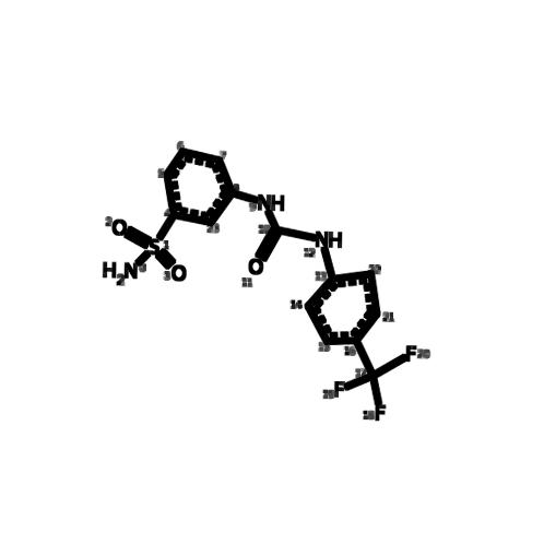 NS(=O)(=O)c1cccc(NC(=O)Nc2ccc(C(F)(F)F)cc2)c1